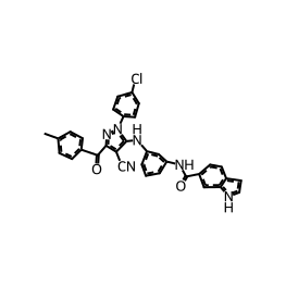 Cc1ccc(C(=O)c2nn(-c3ccc(Cl)cc3)c(Nc3cccc(NC(=O)c4ccc5cc[nH]c5c4)c3)c2C#N)cc1